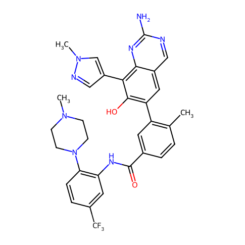 Cc1ccc(C(=O)Nc2cc(C(F)(F)F)ccc2N2CCN(C)CC2)cc1-c1cc2cnc(N)nc2c(-c2cnn(C)c2)c1O